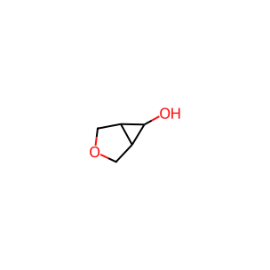 OC1C2COCC12